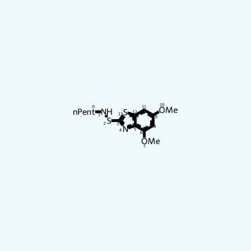 CCCCCNSc1nc2c(OC)cc(OC)cc2s1